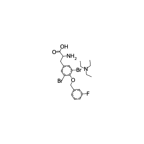 CCN(CC)CC.NC(Cc1cc(Br)c(OCc2cccc(F)c2)c(Br)c1)C(=O)O